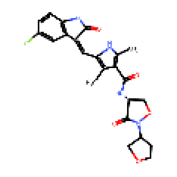 Cc1[nH]c(/C=C2\C(=O)Nc3ccc(F)cc32)c(C)c1C(=O)N[C@@H]1CON(C2CCOC2)C1=O